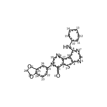 O=c1c2sc3ncnc(Nc4ccccc4)c3c2ncn1-c1ccc2c(c1)OCO2